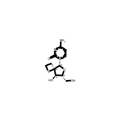 Nc1ccn([C@@H]2O[C@H](CO)[C@@H](O)[C@]23CCS3)c(=O)n1